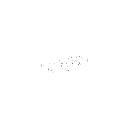 CCN1CCN(CC)c2cc(Nc3ncc(Cl)c(N[C@@H]4[C@H](C(N)=O)[C@H]5C=C[C@@H]4C5)n3)ccc2C1